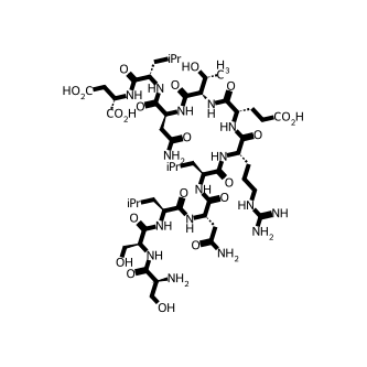 CC(C)C[C@H](NC(=O)[C@H](CC(N)=O)NC(=O)[C@@H](NC(=O)[C@H](CCC(=O)O)NC(=O)[C@H](CCCNC(=N)N)NC(=O)[C@H](CC(C)C)NC(=O)[C@H](CC(N)=O)NC(=O)[C@H](CC(C)C)NC(=O)[C@H](CO)NC(=O)[C@@H](N)CO)[C@@H](C)O)C(=O)N[C@@H](CC(=O)O)C(=O)O